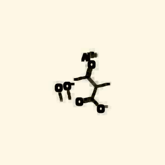 CC(=O)C(C)C(=O)[O-].C[O-].C[O-].[Al+3]